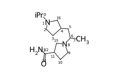 CC(C)N1CCC(CC(C)N2CCC(C(N)=O)C2)C1